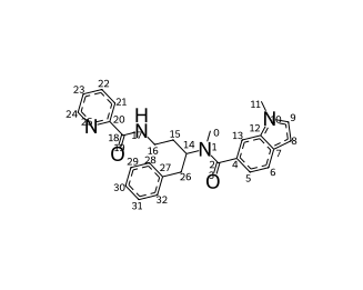 CN(C(=O)c1ccc2ccn(C)c2c1)C(CCNC(=O)c1ccccn1)Cc1ccccc1